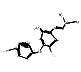 CCN(C)C=Nc1cc(F)c(Nc2ccc(F)cc2)cc1C